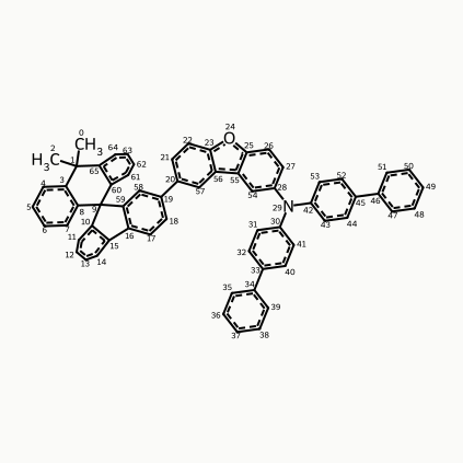 CC1(C)c2ccccc2C2(c3ccccc3-c3ccc(-c4ccc5oc6ccc(N(c7ccc(-c8ccccc8)cc7)c7ccc(-c8ccccc8)cc7)cc6c5c4)cc32)c2ccccc21